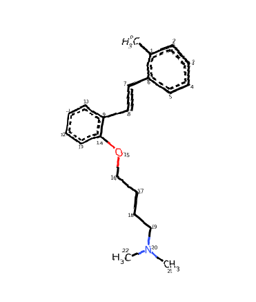 Cc1ccccc1C=Cc1ccccc1OCCCCN(C)C